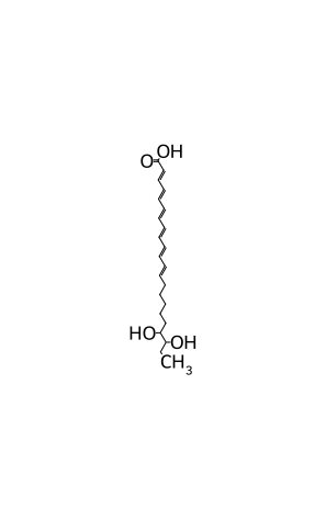 CCC(O)C(O)CCCCC/C=C/C=C/C=C/C=C/C=C/C=C/C(=O)O